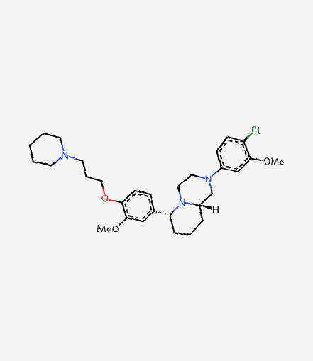 COc1cc(N2CCN3[C@@H](CCC[C@@H]3c3ccc(OCCCN4CCCCC4)c(OC)c3)C2)ccc1Cl